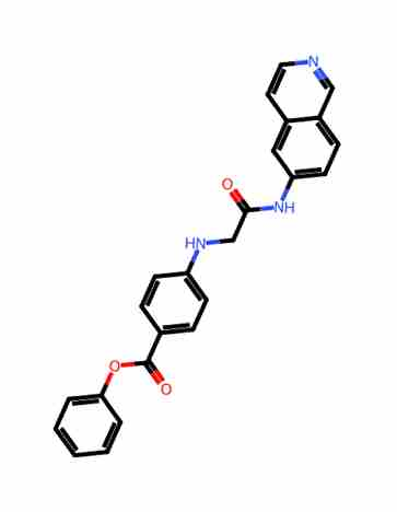 O=C(CNc1ccc(C(=O)Oc2ccccc2)cc1)Nc1ccc2cnccc2c1